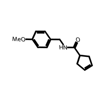 COc1ccc(CNC(=O)C2CC=CC2)cc1